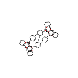 C1=CCC2C(=C1)c1ccccc1N2c1ccc2c(c1)C1(c3cc(-n4c5ccccc5c5ccccc54)ccc3-2)c2cc(-n3c4ccccc4c4ccccc43)ccc2-c2ccc(-n3c4ccccc4c4ccccc43)cc21